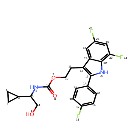 O=C(NC(CO)C1CC1)OCCc1c(-c2ccc(F)cc2)[nH]c2c(F)cc(F)cc12